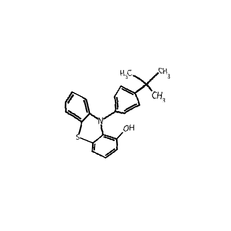 CC(C)(C)c1ccc(N2c3ccccc3Sc3cccc(O)c32)cc1